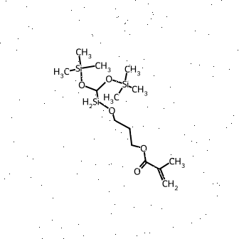 C=C(C)C(=O)OCCCO[SiH2]C(O[Si](C)(C)C)O[Si](C)(C)C